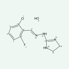 Cl.Fc1cccc(Cl)c1C=NNC1=NCCN1